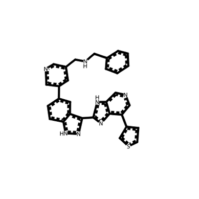 c1ccc(CNCc2cncc(-c3ccc4[nH]nc(-c5nc6c(-c7ccsc7)cncc6[nH]5)c4c3)c2)cc1